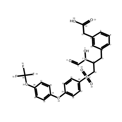 O=CN(O)C(Cc1cccc(CC(=O)O)c1)CS(=O)(=O)c1ccc(Oc2ccc(OC(F)(F)F)cc2)cc1